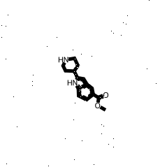 COC(=O)c1ccc2[nH]c(C3CCNCC3)cc2c1